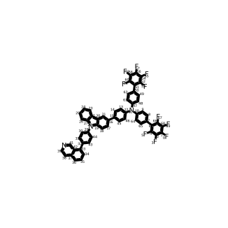 Fc1c(F)c(F)c(-c2ccc(N(c3ccc(-c4ccc5c(c4)c4ccccc4n5-c4ccc(-c5cccc6ccncc56)cc4)cc3)c3ccc(-c4c(F)c(F)c(F)c(F)c4F)cc3)cc2)c(F)c1F